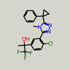 Cn1c(-c2cc(C(C)(O)C(F)(F)F)ccc2Cl)nnc1C1(c2ccccc2)CC1